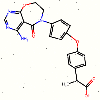 CC(C(=O)O)c1ccc(Oc2ccc(N3CCOc4ncnc(N)c4C3=O)cc2)cc1